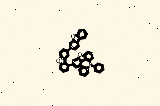 c1ccc(N(c2ccccc2)c2cccc3oc4cc(-c5cccc6oc7ccc(-c8ccc9c(c8)oc8ccccc89)cc7c56)ccc4c23)cc1